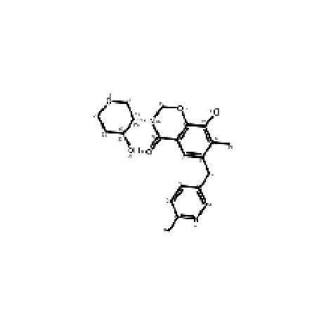 Cc1ccc(Cc2cc3c(c(Cl)c2C)OCN([C@H]2COCC[C@@H]2O)C3=O)cn1